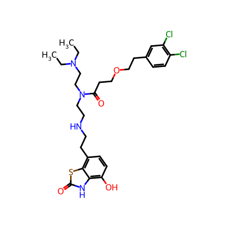 CCN(CC)CCN(CCNCCc1ccc(O)c2[nH]c(=O)sc12)C(=O)CCOCCc1ccc(Cl)c(Cl)c1